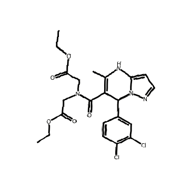 CCOC(=O)CN(CC(=O)OCC)C(=O)C1=C(C)Nc2ccnn2C1c1ccc(Cl)c(Cl)c1